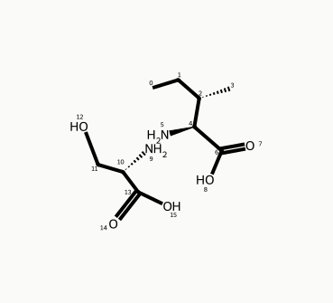 CC[C@H](C)[C@H](N)C(=O)O.N[C@@H](CO)C(=O)O